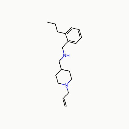 C=CCN1CCC(CNCc2ccccc2CCC)CC1